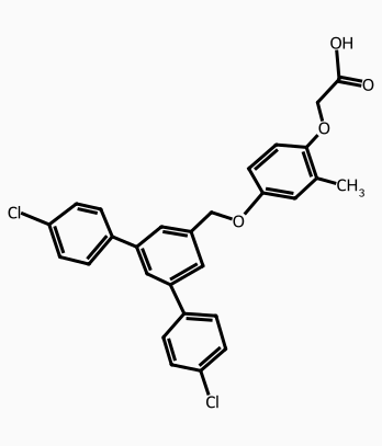 Cc1cc(OCc2cc(-c3ccc(Cl)cc3)cc(-c3ccc(Cl)cc3)c2)ccc1OCC(=O)O